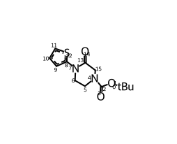 CC(C)(C)OC(=O)N1CCN(c2cccs2)C(=O)C1